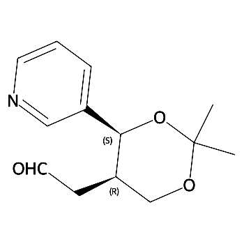 CC1(C)OC[C@@H](CC=O)[C@@H](c2cccnc2)O1